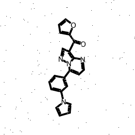 O=C(c1ccco1)c1cnn2c(-c3cccc(-n4cccc4)c3)ccnc12